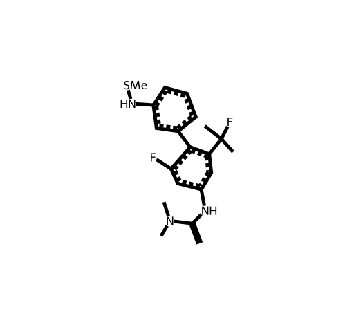 C=C(Nc1cc(F)c(-c2cccc(NSC)c2)c(C(C)(C)F)c1)N(C)C